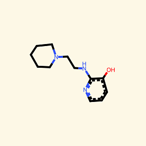 Oc1cccnc1NCCN1CCCCC1